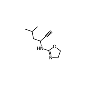 C#CC(CC(C)C)NC1=NCCO1